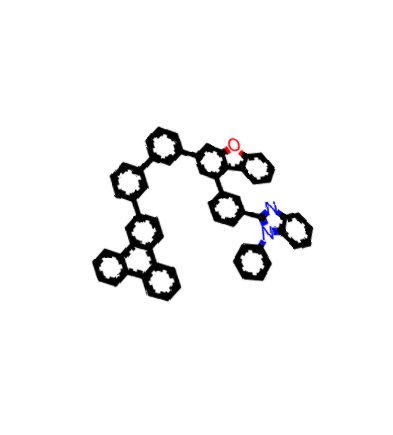 c1ccc(-n2c(-c3cccc(-c4cc(-c5cccc(-c6cccc(-c7ccc8c9ccccc9c9ccccc9c8c7)c6)c5)cc5oc6ccccc6c45)c3)nc3ccccc32)cc1